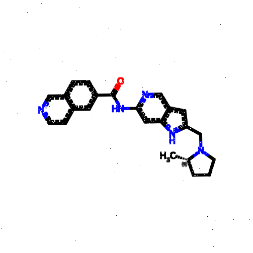 C[C@H]1CCCN1Cc1cc2cnc(NC(=O)c3ccc4cnccc4c3)cc2[nH]1